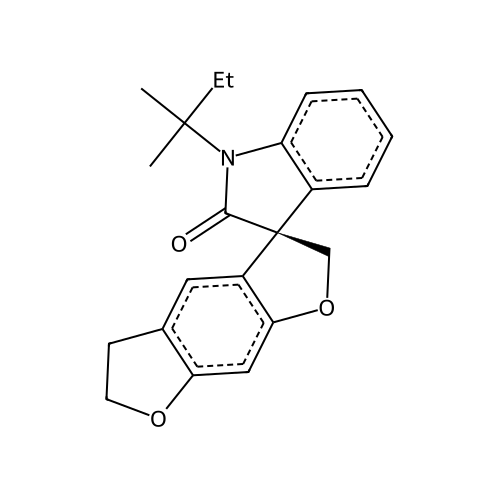 CCC(C)(C)N1C(=O)[C@]2(COc3cc4c(cc32)CCO4)c2ccccc21